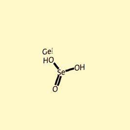 O=[Se](O)O.[Ge]